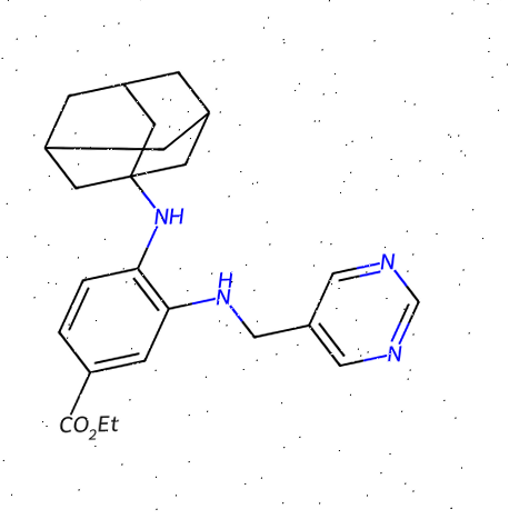 CCOC(=O)c1ccc(NC23CC4CC(CC(C4)C2)C3)c(NCc2cncnc2)c1